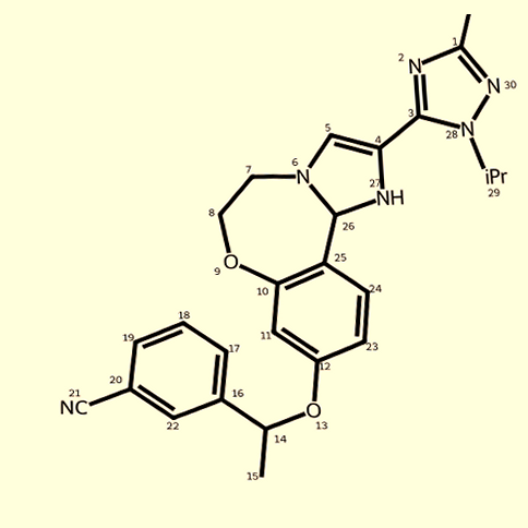 Cc1nc(C2=CN3CCOc4cc(OC(C)c5cccc(C#N)c5)ccc4C3N2)n(C(C)C)n1